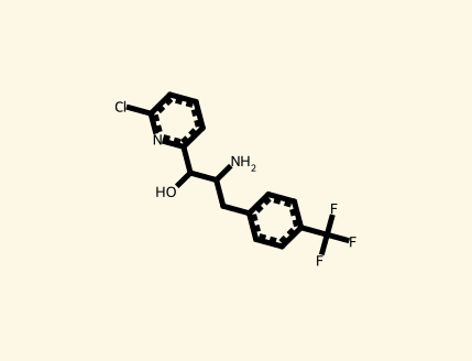 NC(Cc1ccc(C(F)(F)F)cc1)C(O)c1cccc(Cl)n1